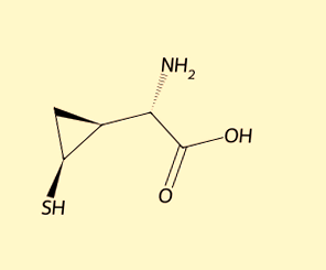 N[C@H](C(=O)O)[C@@H]1C[C@@H]1S